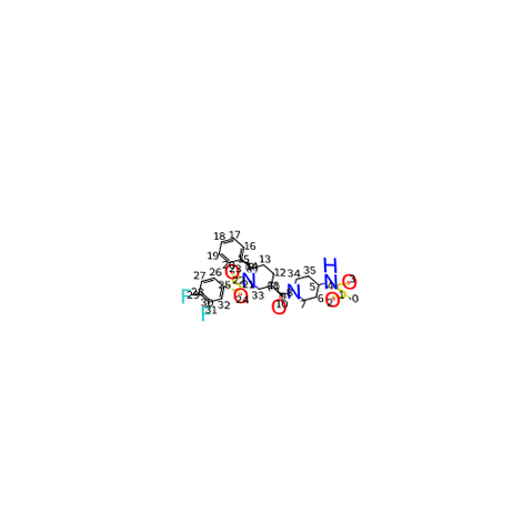 CS(=O)(=O)NC1CCN(C(=O)[C@@H]2CC[C@H](c3ccccc3)N(S(=O)(=O)c3ccc(F)c(F)c3)C2)CC1